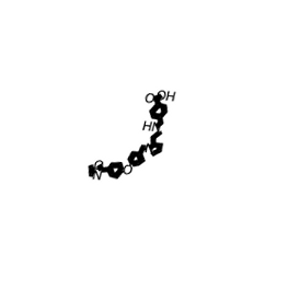 O=C(O)c1ccc(CNCCC2CCCN2Cc2ccc(Oc3ccc(-c4ncco4)cc3)cc2)cc1